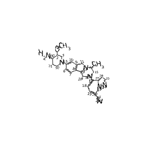 COC1CN(c2ccc3c(c2)CN2C(C)CN(c4ccc(C#N)n5nccc45)CC32)CCC1N